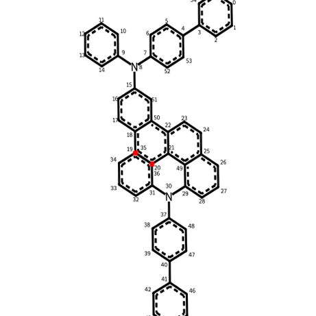 c1ccc(-c2ccc(N(c3ccccc3)c3ccc4ccc5c(ccc6cccc(N(c7ccccc7)c7ccc(-c8ccccc8)cc7)c65)c4c3)cc2)cc1